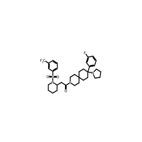 O=C(CC1CCCCN1S(=O)(=O)c1cccc(C(F)(F)F)c1)N1CCC2(CC1)CCC(c1cccc(F)c1)(N1CCCC1)CC2